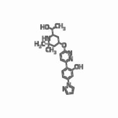 C[C@H](O)C1CC(Oc2ccc(-c3ccc(-n4cccn4)cc3O)nn2)CC(C)(C)N1